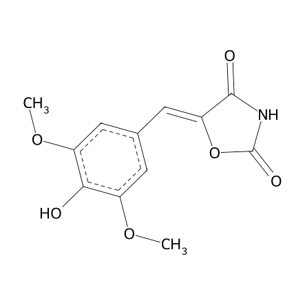 COc1cc(/C=C2\OC(=O)NC2=O)cc(OC)c1O